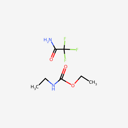 CCNC(=O)OCC.NC(=O)C(F)(F)F